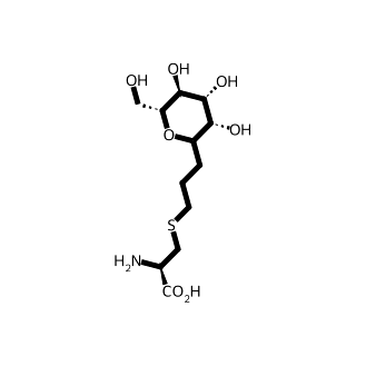 N[C@@H](CSCCCC1O[C@H](CO)[C@@H](O)[C@H](O)[C@@H]1O)C(=O)O